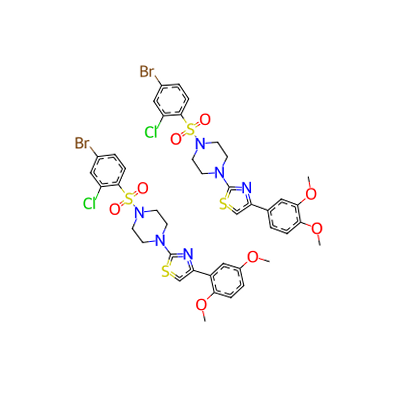 COc1ccc(-c2csc(N3CCN(S(=O)(=O)c4ccc(Br)cc4Cl)CC3)n2)cc1OC.COc1ccc(OC)c(-c2csc(N3CCN(S(=O)(=O)c4ccc(Br)cc4Cl)CC3)n2)c1